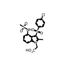 Cc1c(S(=O)(=O)c2ccc(Cl)cc2)c2c(NS(C)(=O)=O)cccc2n1CC(=O)O